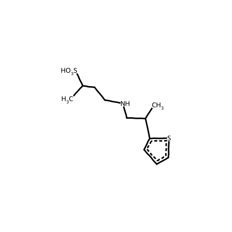 CC(CNCCC(C)S(=O)(=O)O)c1cccs1